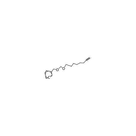 [C]#CCCCCCCOCOCc1ccccc1